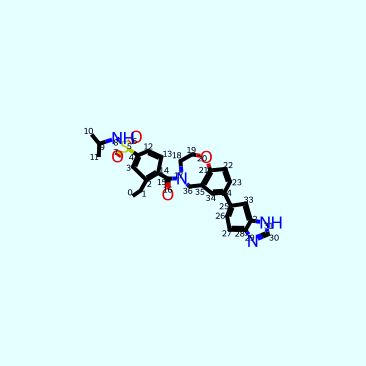 CCc1cc(S(=O)(=O)NC(C)C)ccc1C(=O)N1CCOc2ccc(-c3ccc4nc[nH]c4c3)cc2C1